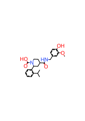 COc1cc(CNC(=O)C2CCN(C(=O)O)C(c3ccccc3C(C)C)C2)ccc1O